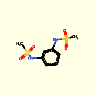 CS(=O)(=O)Nc1cccc(NS(C)(=O)=O)c1